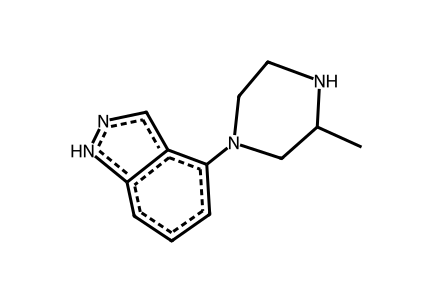 CC1CN(c2cccc3[nH]ncc23)CCN1